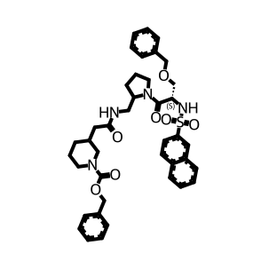 O=C(CC1CCCN(C(=O)OCc2ccccc2)C1)NCC1CCCN1C(=O)[C@H](COCc1ccccc1)NS(=O)(=O)c1ccc2ccccc2c1